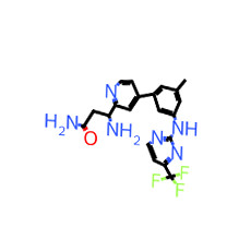 Cc1cc(Nc2nccc(C(F)(F)F)n2)cc(-c2ccnc(C(N)CC(N)=O)c2)c1